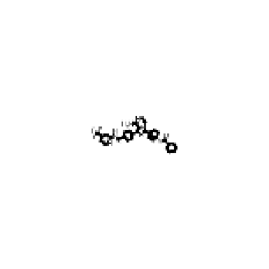 Nc1nccn2c(C34CCC(NC(=O)c5ccccc5)(CC3)C4)nc(-c3ccc(C(=O)Nc4cc(C(F)(F)F)ccn4)cc3)c12